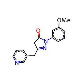 COc1cccc(N2N=C(Cc3cccnc3)CC2=O)c1